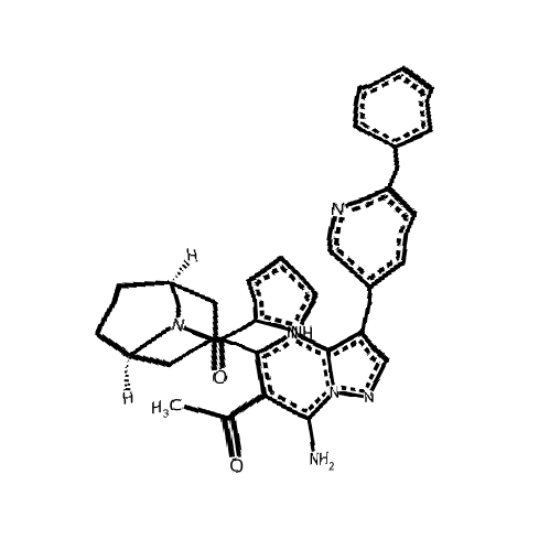 CC(=O)c1c(C2C[C@H]3CC[C@@H](C2)N3C(=O)c2ccc[nH]2)nc2c(-c3ccc(-c4ccccc4)nc3)cnn2c1N